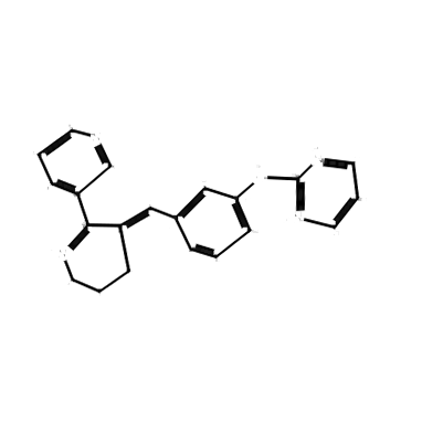 C(=C1CCCN=C1c1cccnc1)c1cccc(Oc2ncccn2)c1